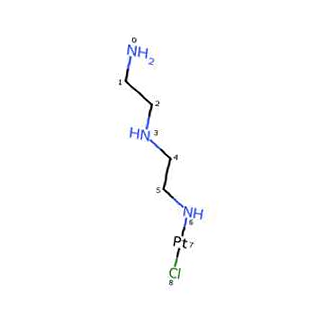 NCCNCC[NH][Pt][Cl]